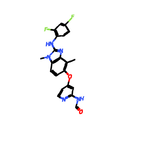 Cc1c(Oc2ccnc(NC=O)c2)ccc2c1nc(Nc1ccc(F)cc1F)n2C